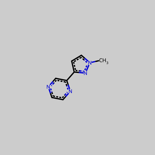 Cn1ccc(-c2cnccn2)n1